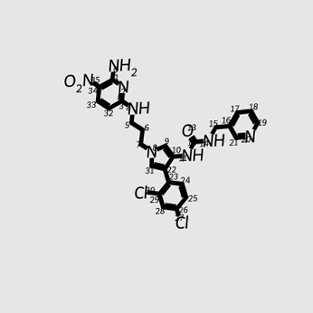 Nc1nc(NCCCn2cc(NC(=O)NCc3cccnc3)c(-c3ccc(Cl)cc3Cl)c2)ccc1[N+](=O)[O-]